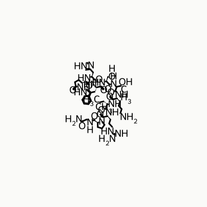 CC(C)C[C@H](NC(=O)[C@H](CCCCN)NC(=O)[C@@H](NC(=O)[C@H](CO)NC(=O)[C@H](Cc1c[nH]c2ccccc12)NC(=O)[C@H](Cc1c[nH]cn1)NC(=O)[C@@H]1CCC(=O)N1)[C@@H](C)O)C(=O)N[C@@H](CCCNC(=N)N)C(=O)N1CCC[C@H]1C(=O)NCC(N)=O